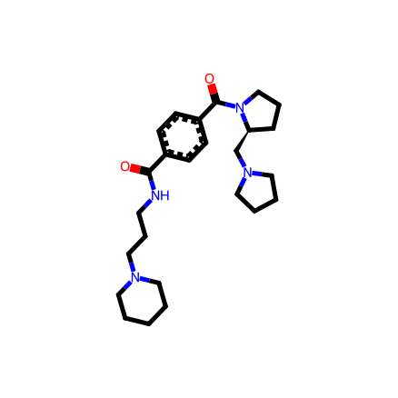 O=C(NCCCN1CCCCC1)c1ccc(C(=O)N2CCC[C@H]2CN2CCCC2)cc1